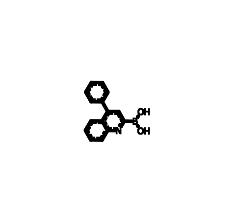 OB(O)c1cc(-c2ccccc2)c2ccccc2n1